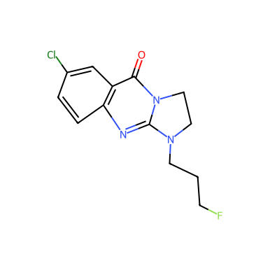 O=c1c2cc(Cl)ccc2nc2n1CCN2CCCF